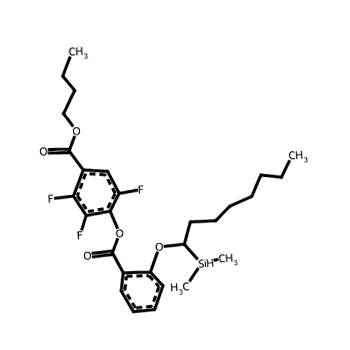 CCCCCCCC(Oc1ccccc1C(=O)Oc1c(F)cc(C(=O)OCCCC)c(F)c1F)[SiH](C)C